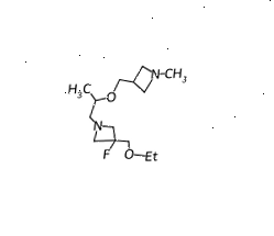 CCOCC1(F)CN(CC(C)OCC2CN(C)C2)C1